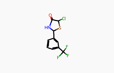 O=C1NC(c2cccc(C(F)(F)F)c2)SC1Cl